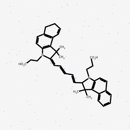 CC1(C)\C(=C/C=C/C=C/C2N(CCC(=O)O)c3ccc4ccccc4c3C2(C)C)N(CCC(=O)O)c2ccc3c(c21)C=CCC3